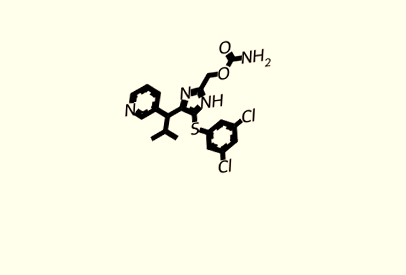 CC(C)C(c1cccnc1)c1nc(COC(N)=O)[nH]c1Sc1cc(Cl)cc(Cl)c1